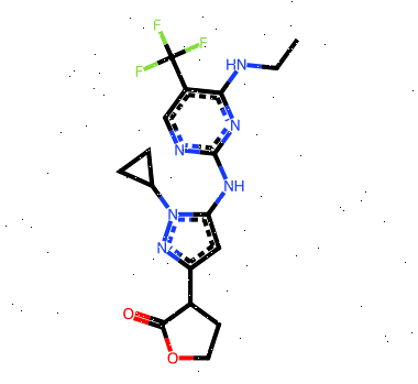 CCNc1nc(Nc2cc(C3CCOC3=O)nn2C2CC2)ncc1C(F)(F)F